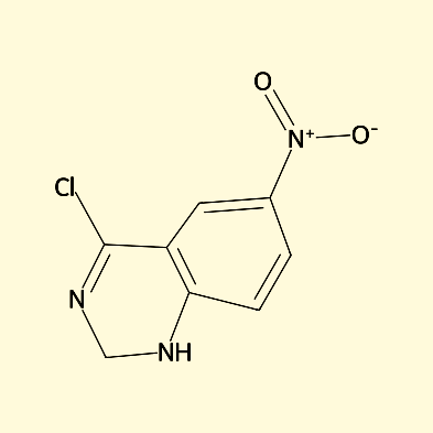 O=[N+]([O-])c1ccc2c(c1)C(Cl)=NCN2